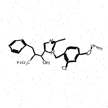 CCCCCOc1ccc(Cn2c(C(O)C(Cc3ccccc3)C(=O)OCC)cnc2C)c(Cl)c1